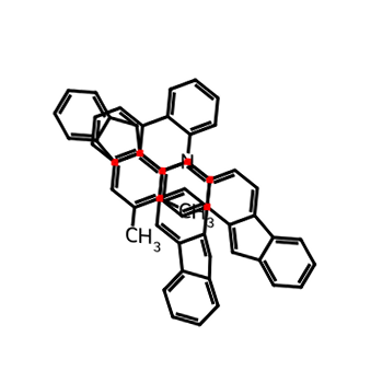 Cc1cc2c(c(N(C3=CC=C4C(=Cc5ccccc54)C34C=CC=C3C4=Cc4ccccc43)c3ccccc3-c3ccccc3-c3ccccc3)c1C)Cc1ccccc1-2